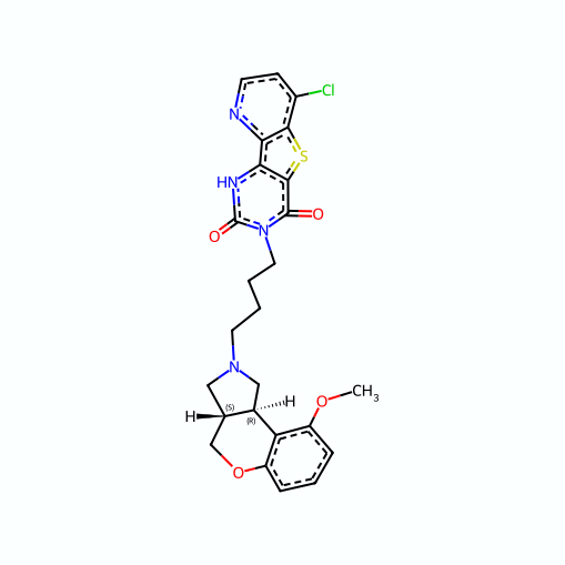 COc1cccc2c1[C@@H]1CN(CCCCn3c(=O)[nH]c4c(sc5c(Cl)ccnc54)c3=O)C[C@H]1CO2